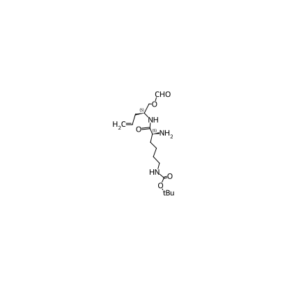 C=CC[C@@H](COC=O)NC(=O)[C@@H](N)CCCCNC(=O)OC(C)(C)C